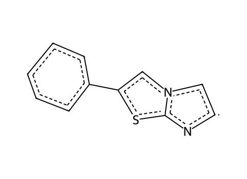 [c]1cn2cc(-c3ccccc3)sc2n1